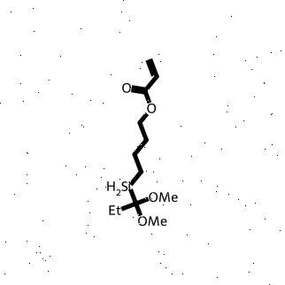 C=CC(=O)OCCCC[SiH2]C(CC)(OC)OC